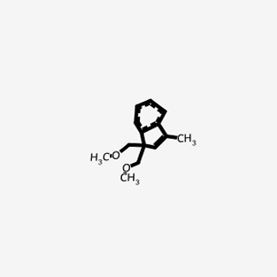 COCC1(COC)C=C(C)c2ccccc21